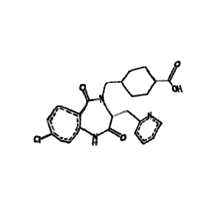 O=C(O)C1CCC(CN2C(=O)c3ccc(Cl)cc3NC(=O)[C@H]2Cc2ccccn2)CC1